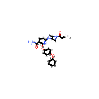 C=CC(=O)N1CC2C1CN2c1ccc(C(N)=O)c(Oc2ccc(Oc3ccccc3)cc2)n1